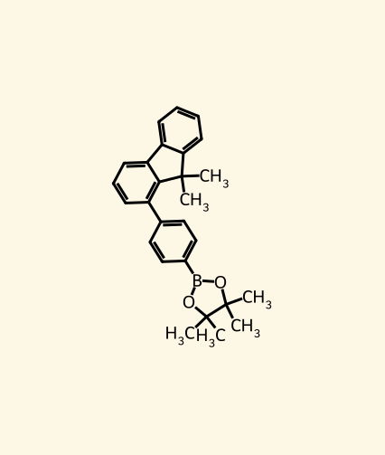 CC1(C)c2ccccc2-c2cccc(-c3ccc(B4OC(C)(C)C(C)(C)O4)cc3)c21